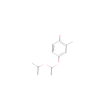 Cc1cc(OC(C)OC(C)C)ccc1O